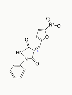 O=C1NN(c2ccccc2)C(=O)/C1=C/c1ccc([N+](=O)[O-])o1